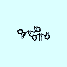 Cn1cc(CN(CCc2ccccn2)Cc2cccc(CNCc3ccccn3)c2)c2ccccc21